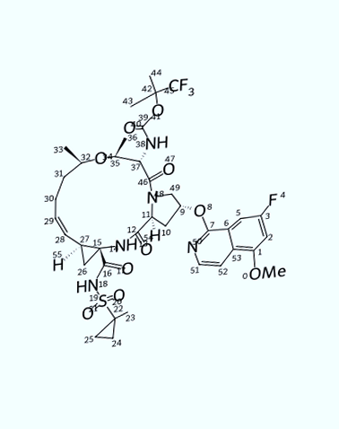 COc1cc(F)cc2c(O[C@@H]3C[C@H]4C(=O)N[C@]5(C(=O)NS(=O)(=O)C6(C)CC6)C[C@H]5/C=C\CC[C@@H](C)O[C@@H](C)[C@H](NC(=O)OC(C)(C)C(F)(F)F)C(=O)N4C3)nccc12